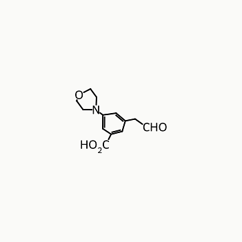 O=CCc1cc(C(=O)O)cc(N2CCOCC2)c1